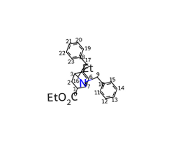 CCOC(=O)C1CC2C(CC)=CC1N(Cc1ccccc1)C2Cc1ccccc1